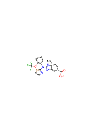 Cn1c(N(c2nccs2)c2ccccc2OC(F)(F)F)nc2cc(C(=O)O)ccc21